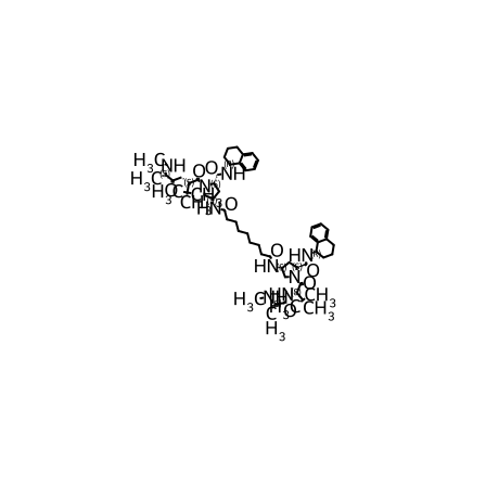 CN[C@@H](C)C(=O)C[C@H](C(=O)N1C[C@@H](NC(=O)CCCCCCCC(=O)N[C@H]2C[C@@H](C(=O)N[C@@H]3CCCc4ccccc43)N(C(=O)[C@@H](NC(=O)[C@H](C)NC)C(C)(C)C)C2)C[C@H]1C(=O)N[C@@H]1CCCc2ccccc21)C(C)(C)C